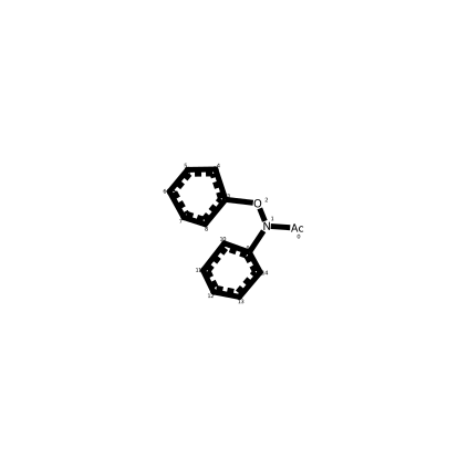 CC(=O)N(Oc1ccccc1)c1ccccc1